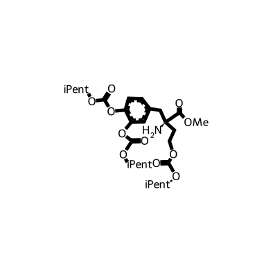 CCCC(C)OC(=O)Oc1ccc(C[C@](N)(CCOC(=O)O[C@@H](C)CCC)C(=O)OC)cc1OC(=O)OC(C)CCC